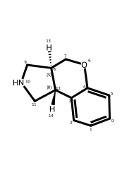 c1ccc2c(c1)OC[C@@H]1CNC[C@@H]21